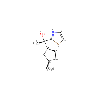 C[C@@](O)(c1nccs1)[C@H]1CC[C@@H](C(=O)O)C1